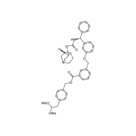 COC(Cc1ccc(COC(=O)c2cccc(COc3cccc([C@@H](NC(=O)O[C@H]4CN5CCC4CC5)c4ccccc4)c3)c2)cc1)OC